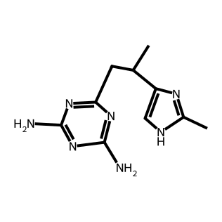 Cc1nc(C(C)Cc2nc(N)nc(N)n2)c[nH]1